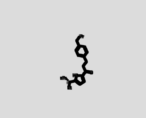 CCC[C@@H](CC)C1=CC=C(C(=O)CCc2ccc(CC(C)C)cc2)B1